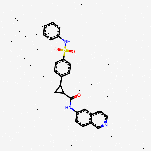 O=C(Nc1ccc2cnccc2c1)C1CC1c1ccc(S(=O)(=O)Nc2ccccc2)cc1